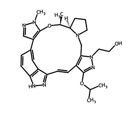 CC(C)Oc1nn(CCO)c2c1/C=C/c1n[nH]c3ccc(cc13)-c1cnn(C)c1O[C@@H](C)[C@H]1CCCN1C2